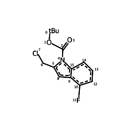 CC(C)(C)OC(=O)n1c(CCl)cc2c(F)cccc21